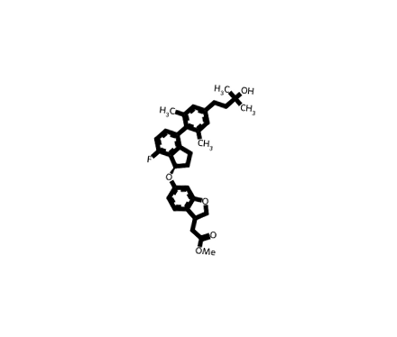 COC(=O)CC1COc2cc(O[C@@H]3CCc4c(-c5c(C)cc(CCC(C)(C)O)cc5C)ccc(F)c43)ccc21